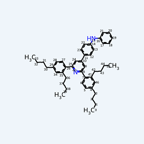 CCCCc1ccc(-c2cc(-c3ccc(Nc4ccccc4)cc3)cc(-c3ccc(CCCC)cc3CCCC)n2)c(CCCC)c1